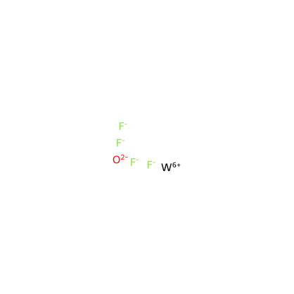 [F-].[F-].[F-].[F-].[O-2].[W+6]